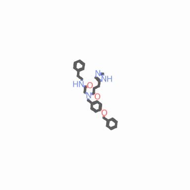 O=C(CN(Cc1ccc(OCc2ccccc2)cc1)C(=O)[CH]Cc1cnc[nH]1)NCCc1ccccc1